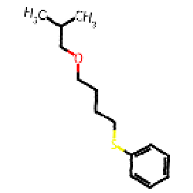 CC(C)COCCCCSc1ccccc1